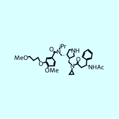 COCCCOc1cc(C(=O)N(C[C@@H]2CNC[C@H]2CN(C(=O)C[C@@H](NC(C)=O)c2ccccc2)C2CC2)C(C)C)ccc1OC